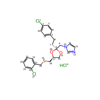 Cl.Clc1ccc(CC[C@]2(Cn3ccnc3)OC[C@@H](CSCc3ccccc3Cl)O2)cc1